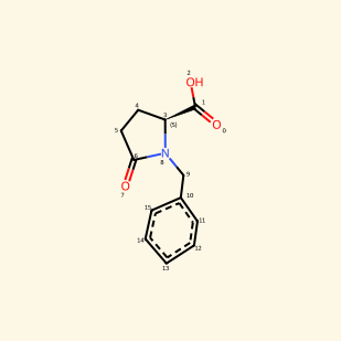 O=C(O)[C@@H]1CCC(=O)N1Cc1ccccc1